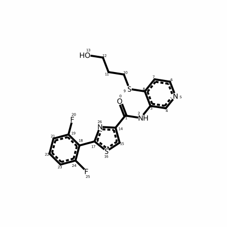 O=C(Nc1cnccc1SCCCO)c1csc(-c2c(F)cccc2F)n1